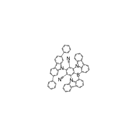 N#Cc1c(-n2c3cc(-c4ccccc4)ccc3c3ccc(-c4ccccc4)cc32)c(C#N)c2c3c1-n1c4ccccc4c4cccc(c41)B3c1cccc3c4ccccc4n-2c13